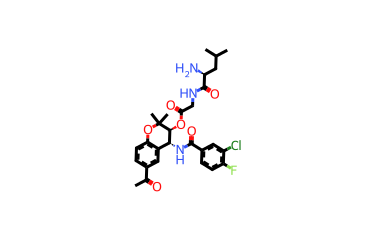 CC(=O)c1ccc2c(c1)[C@@H](NC(=O)c1ccc(F)c(Cl)c1)[C@H](OC(=O)CNC(=O)[C@@H](N)CC(C)C)C(C)(C)O2